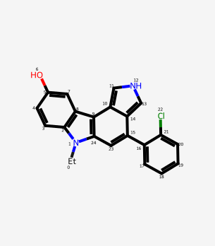 CCn1c2ccc(O)cc2c2c3c[nH]cc3c(-c3ccccc3Cl)cc21